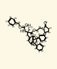 C[C@@](Cc1cc2c(-c3ccccc3)c(-c3ccccc3)c1OCO2)(NC(=O)OCc1ccccc1)C(=O)OCCN1C(=O)CCC1=O